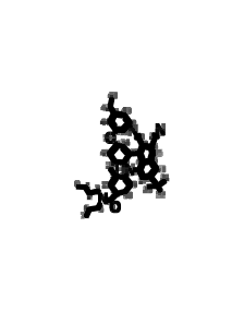 CCCCN(CCC)C(=O)C1C=C(C)C(Nc2cc(C(C)(C)C)cc3cc(C#N)c(C#N)c(C4=CC(Oc5cccc(CC)c5)=CCC4)c23)=CC1